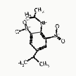 CC(C)Nc1c([N+](=O)[O-])cc(C(C)C)cc1[N+](=O)[O-]